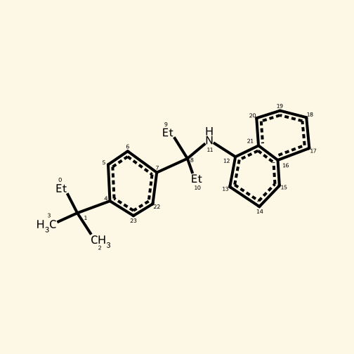 CCC(C)(C)c1ccc(C(CC)(CC)Nc2cccc3ccccc23)cc1